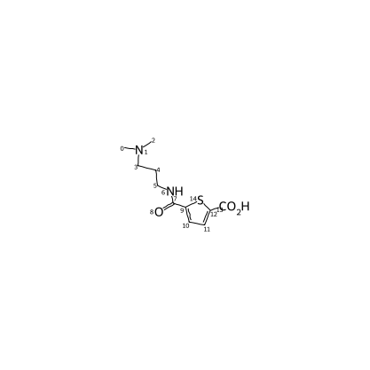 CN(C)CCCNC(=O)c1ccc(C(=O)O)s1